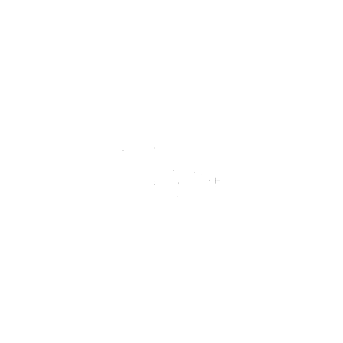 CC(C)(C)c1ccc(C(=O)OC=O)cc1